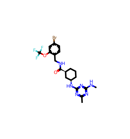 CNc1nc(C)nc(N[C@@H]2CCC[C@H](C(=O)NCc3ccc(Br)cc3OC(F)(F)F)C2)n1